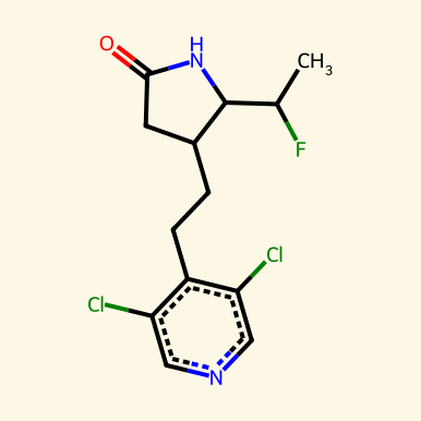 CC(F)C1NC(=O)CC1CCc1c(Cl)cncc1Cl